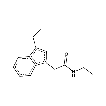 CCNC(=O)Cn1cc(CC)c2ccccc21